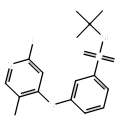 Cc1cnc(F)cc1Nc1cccc(S(=O)(=O)NC(C)(C)C)c1